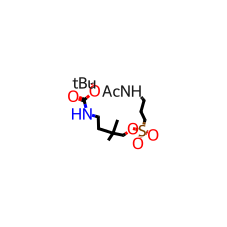 CC(=O)NCCCS(=O)(=O)OCC(C)(C)CCNC(=O)OC(C)(C)C